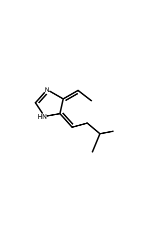 C/C=c1/nc[nH]/c1=C/CC(C)C